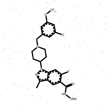 CSNC(=O)c1cc2c(C)nn(C3CCN(Cc4cc(Cl)cc(OC(F)(F)F)c4)CC3)c2cc1F